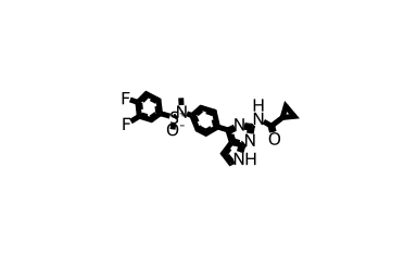 CN(c1ccc(-c2nc(NC(=O)C3CC3)nc3[nH]ccc23)cc1)[S+]([O-])c1ccc(F)c(F)c1